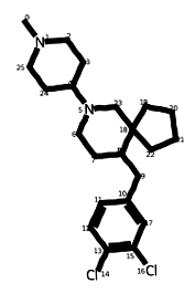 CN1CCC(N2CCC(Cc3ccc(Cl)c(Cl)c3)C3(CCCC3)C2)CC1